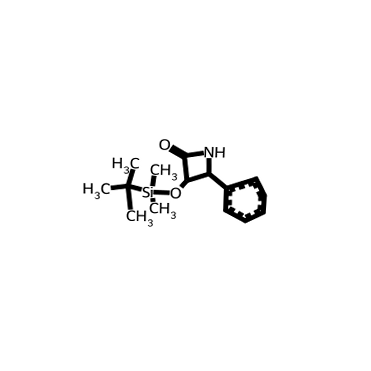 CC(C)(C)[Si](C)(C)OC1C(=O)NC1c1ccccc1